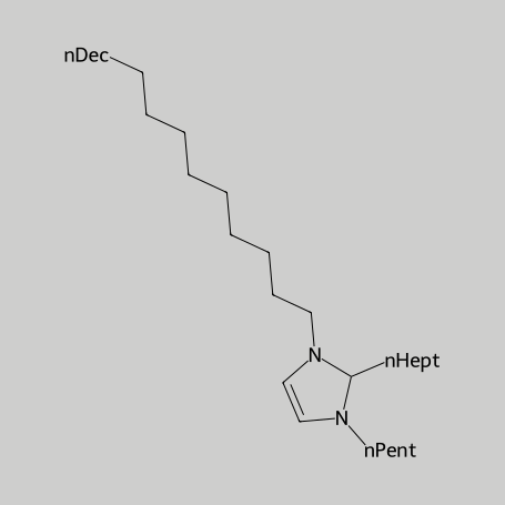 CCCCCCCCCCCCCCCCCCCN1C=CN(CCCCC)C1CCCCCCC